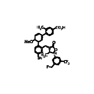 COC1C=CC(c2ccc(C(=O)O)cc2C)=CC1c1ccc(C(C)C)nc1CN1C(=O)O[C@H](c2cc(CF)cc(C(F)(F)F)c2)C1C